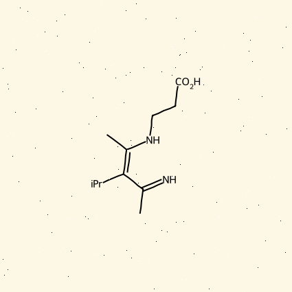 CC(=N)/C(=C(/C)NCCC(=O)O)C(C)C